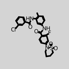 Cc1ccc(NC(=O)c2ccc(N3CCCCS3(=O)=O)cc2F)cc1NC(=O)c1cccc(Cl)c1